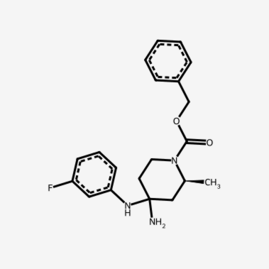 C[C@H]1CC(N)(Nc2cccc(F)c2)CCN1C(=O)OCc1ccccc1